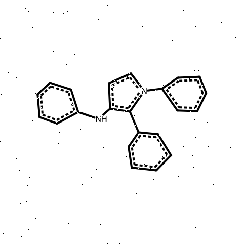 c1ccc(Nc2ccn(-c3ccccc3)c2-c2ccccc2)cc1